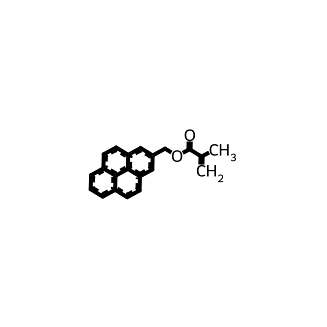 C=C(C)C(=O)OCc1cc2ccc3cccc4ccc(c1)c2c34